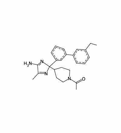 CCc1cccc(-c2cccc(C3(C4CCN(C(C)=O)CC4)N=C(C)C(N)=N3)c2)c1